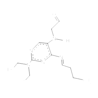 [CH2]CCC=Nc1nc(N(CC)CC)ncc1N(C)CC=O